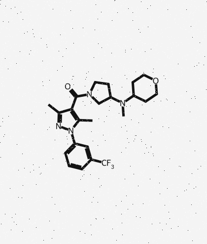 Cc1nn(-c2cccc(C(F)(F)F)c2)c(C)c1C(=O)N1CCC(N(C)C2CCOCC2)C1